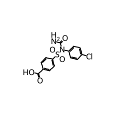 NC(=O)N(c1ccc(Cl)cc1)S(=O)(=O)c1ccc(C(=O)O)cc1